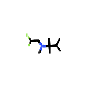 CC(C)C(C)(C)N(C)CC(F)F